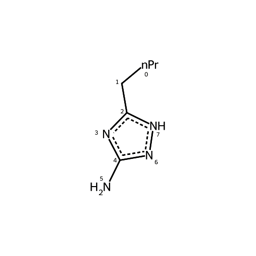 CCCCc1nc(N)n[nH]1